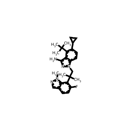 Cn1ncc2ccc(F)c(C(C)(C)Cn3nc(N)c4c(C(C)(C)C)c(C5CC5)ccc43)c21